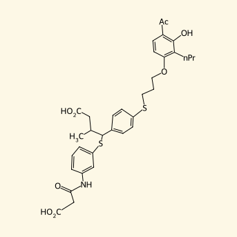 CCCc1c(OCCCSc2ccc(C(Sc3cccc(NC(=O)CC(=O)O)c3)C(C)CC(=O)O)cc2)ccc(C(C)=O)c1O